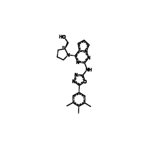 Cc1cc(-c2nnc(Nc3nc(N4CCC[C@H]4CO)c4cccn4n3)o2)cc(C)c1C